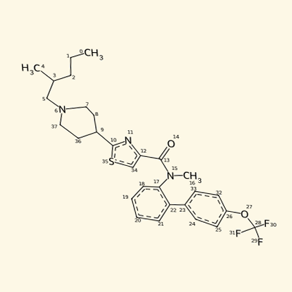 CCCC(C)CN1CCC(c2nc(C(=O)N(C)c3ccccc3-c3ccc(OC(F)(F)F)cc3)cs2)CC1